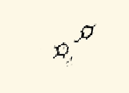 CC1=C(C=O)C[C@@H](OCc2ccc(C)cc2)CC1O[Si](C)(C)C(C)(C)C